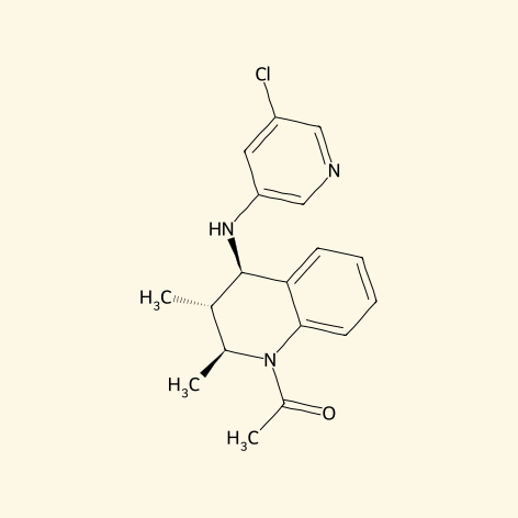 CC(=O)N1c2ccccc2[C@H](Nc2cncc(Cl)c2)[C@@H](C)[C@@H]1C